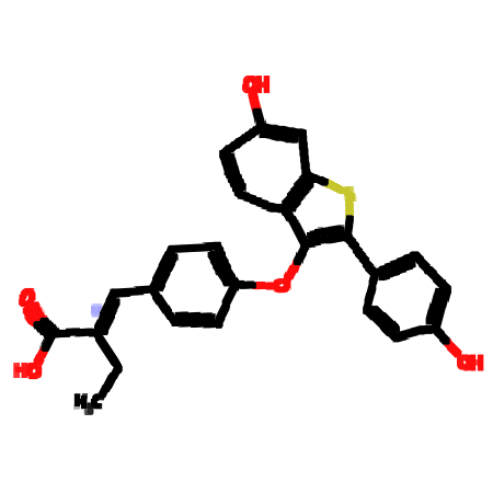 CC/C(=C\c1ccc(Oc2c(-c3ccc(O)cc3)sc3cc(O)ccc23)cc1)C(=O)O